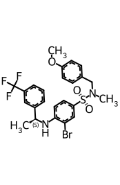 COc1ccc(CN(C)S(=O)(=O)c2ccc(N[C@@H](C)c3cccc(C(F)(F)F)c3)c(Br)c2)cc1